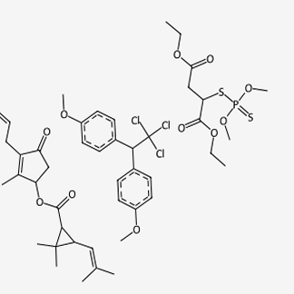 C=CCC1=C(C)C(OC(=O)C2C(C=C(C)C)C2(C)C)CC1=O.CCOC(=O)CC(SP(=S)(OC)OC)C(=O)OCC.COc1ccc(C(c2ccc(OC)cc2)C(Cl)(Cl)Cl)cc1